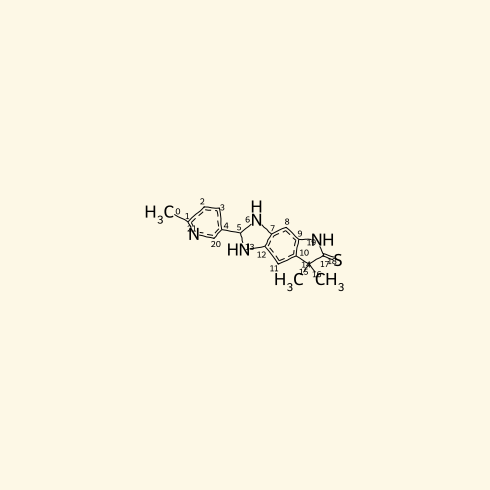 Cc1ccc(C2Nc3cc4c(cc3N2)C(C)(C)C(=S)N4)cn1